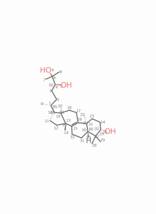 C[C@H](CC[C@H](O)C(C)(C)O)[C@H]1CC[C@@]2(C)C3=C(CC[C@]12C)[C@@]1(C)CC[C@H](O)C(C)(C)[C@@H]1CC3